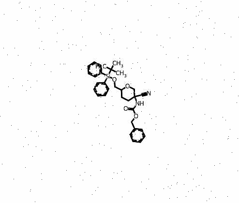 CC(C)(C)[Si](OCC1CCC(C#N)(NC(=O)OCc2ccccc2)CO1)(c1ccccc1)c1ccccc1